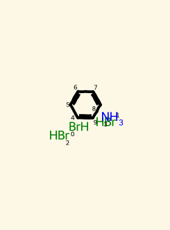 Br.Br.Br.N.c1ccccc1